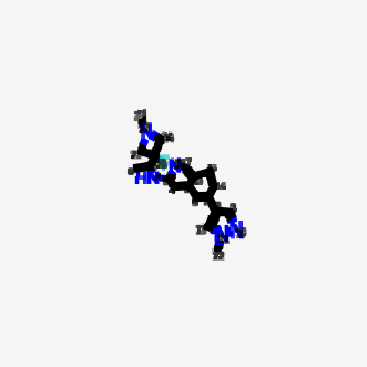 C=C(Nc1cc2cc(-c3cnn(C)c3)ccc2cn1)C1(F)CN(C)C1